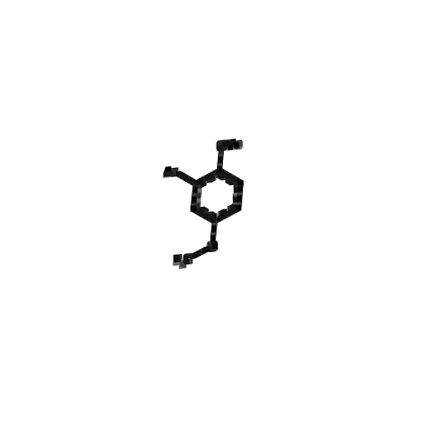 COc1ccc(OC(F)(F)F)cc1C(C)=O